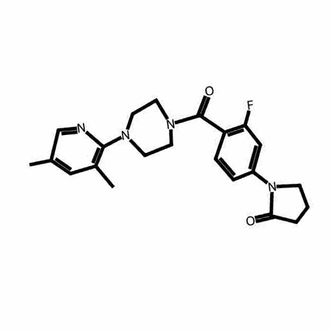 Cc1cnc(N2CCN(C(=O)c3ccc(N4CCCC4=O)cc3F)CC2)c(C)c1